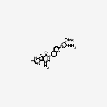 CO[C@H]1CN(c2ccc3c(n2)CC[C@@H](NC(=O)c2sc4nc(C)cnc4c2N)C3)C[C@@H]1N